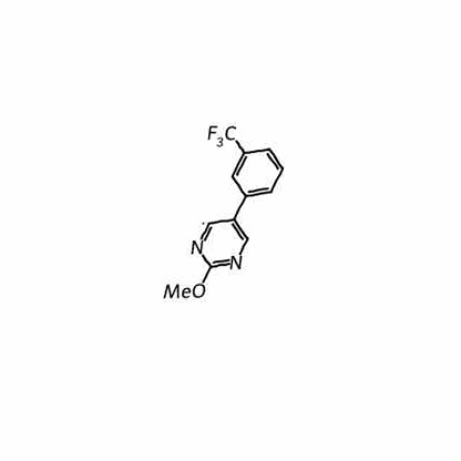 COc1n[c]c(-c2cccc(C(F)(F)F)c2)cn1